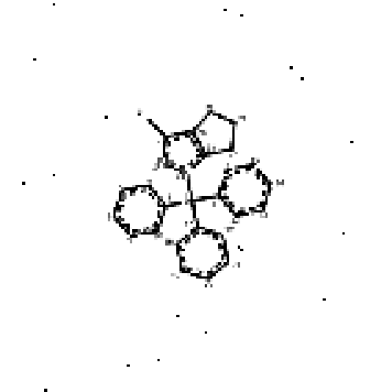 Ic1nn(C(c2ccccc2)(c2ccccc2)c2ccccc2)c2c1CCC2